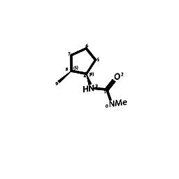 CNC(=O)N[C@@H]1CCC[C@@H]1C